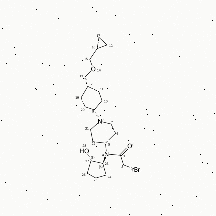 O=C(CBr)N(C1CCN([C@H]2CC[C@@H](COCC3CC3)CC2)CC1)[C@H]1CCC[C@@H]1O